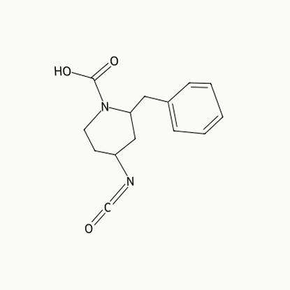 O=C=NC1CCN(C(=O)O)C(Cc2ccccc2)C1